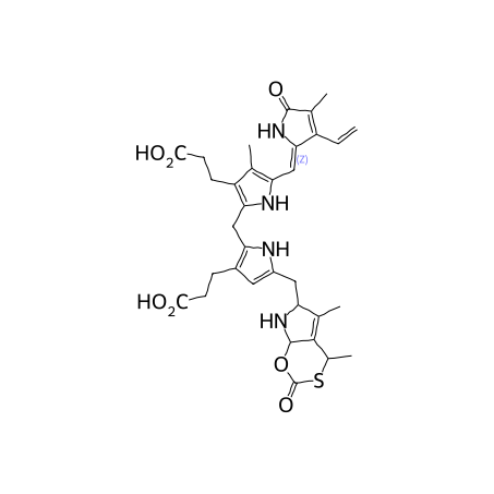 C=CC1=C(C)C(=O)N/C1=C\c1[nH]c(Cc2[nH]c(CC3NC4OC(=O)SC(C)C4=C3C)cc2CCC(=O)O)c(CCC(=O)O)c1C